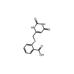 O=C(O)c1ccccc1SCc1cc(=O)[nH]c(=O)[nH]1